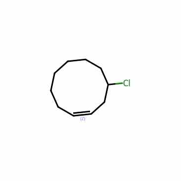 ClC1C/C=C\CCCCCC1